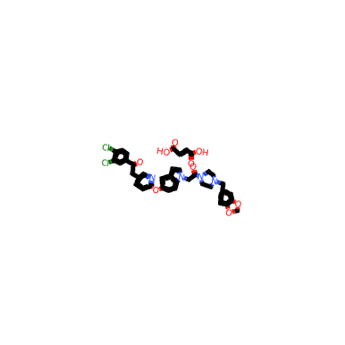 O=C(Cc1ccc(Oc2ccc3c(ccn3CC(=O)N3CCN(Cc4ccc5c(c4)OCO5)CC3)c2)nc1)c1ccc(Cl)c(Cl)c1.O=C(O)C=CC(=O)O